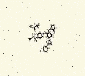 O=C(NC1CC1)c1ccc(Oc2cc(-c3nnc(C4CCNCC4)o3)ccc2CN2CCCC2=O)cc1.O=C(O)C(F)(F)F